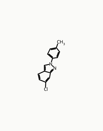 Cc1ccc(-n2cc3ccc(Cl)cc3n2)cc1